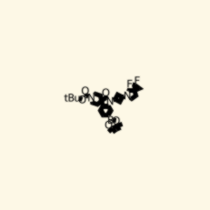 CC(C)(C)OC(=O)N1CCC2(CC1)C(=O)N(C1CC(N3CCC4(C3)CC4(F)F)C1)c1cc(B3OC(C)(C)C(C)(C)O3)ccc12